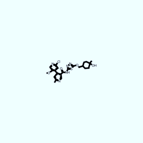 COc1cnc(Cl)cc1-c1cc(C)ncc1C(=O)Nc1nnc(OCC2CCC(C)(O)CC2)s1